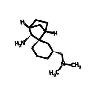 CN(C)C[C@@H]1CCC[C@@]2(C1)[C@H]1CC[C@H](C1)[C@H]2N